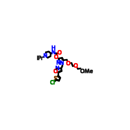 COCCOCCOCc1cc(OC(=O)NC2CCN(C(C)C)CC2)nn1Cc1cc(-c2ccc(Cl)s2)on1